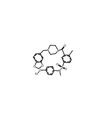 CCOc1ccc(N(C)S(=O)(=O)c2ccc(C)c(C(=O)N3CCN(Cc4ccc5c(c4)OCO5)CC3)c2)cc1